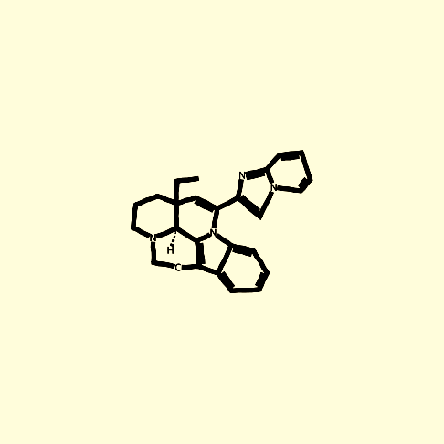 CCC12C=C(c3cn4ccccc4n3)n3c4c(c5ccccc53)CCN(CCC1)[C@H]42